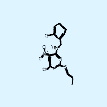 CCCSc1nc(Cl)c([N+](=O)[O-])c(NCc2ccccc2Cl)n1